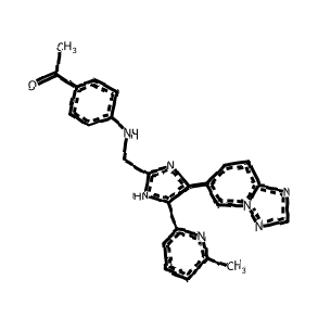 CC(=O)c1ccc(NCc2nc(-c3ccc4ncnn4c3)c(-c3cccc(C)n3)[nH]2)cc1